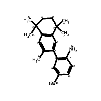 Cc1cc2c(cc1-c1cc(C(C)(C)C)ccc1N)C(C)(C)CCC2(C)C